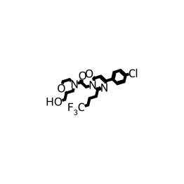 O=C(Cn1c(CCCC(F)(F)F)nc(-c2ccc(Cl)cc2)cc1=O)N1CCOC(CO)C1